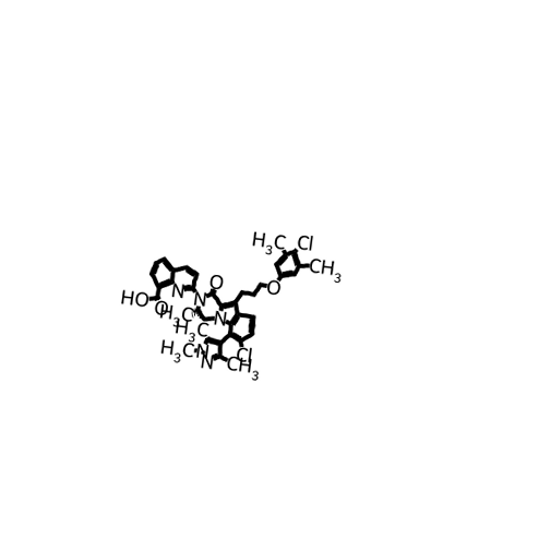 Cc1cc(OCCCc2c3n(c4c(-c5c(C)nn(C)c5C)c(Cl)ccc24)C[C@@H](C)N(c2ccc4cccc(C(=O)O)c4n2)C3=O)cc(C)c1Cl